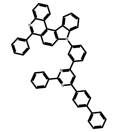 c1ccc(-c2ccc(-c3cc(-c4cccc(-n5c6ccccc6c6c7c(ccc65)c(-c5ccccc5)nc5ccccc57)c4)nc(-c4ccccc4)n3)cc2)cc1